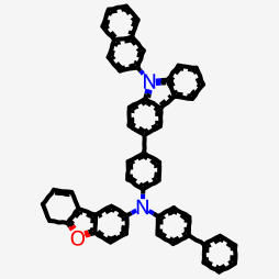 C1=Cc2c(oc3ccc(N(c4ccc(-c5ccccc5)cc4)c4ccc(-c5ccc6c(c5)c5ccccc5n6-c5ccc6ccccc6c5)cc4)cc23)CC1